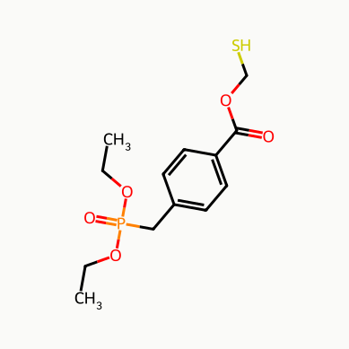 CCOP(=O)(Cc1ccc(C(=O)OCS)cc1)OCC